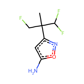 CC(CF)(c1cc(N)on1)C(F)F